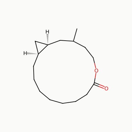 CC1CCOC(=O)CCCCCCC[C@H]2C[C@H]2C1